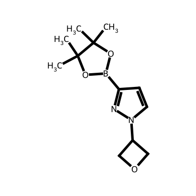 CC1(C)OB(c2ccn(C3COC3)n2)OC1(C)C